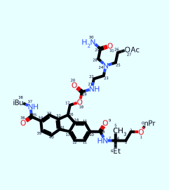 CCCOCCC(C)(CC)NC(=O)c1ccc2c(c1)C(COC(=O)NCCN(CCOC(C)=O)CC(N)=O)c1cc(C(=O)NC(C)CC)ccc1-2